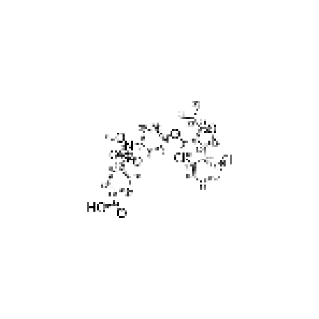 CON(c1ccc(OCc2c(-c3c(Cl)cccc3Cl)noc2C(C)C)nc1)S(=O)(=O)c1ccc(C(=O)O)cc1